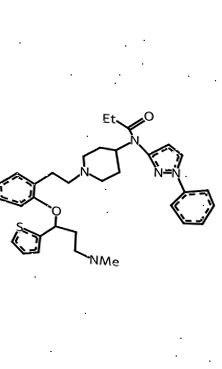 CCC(=O)N(c1ccn(-c2ccccc2)n1)C1CCN(CCc2ccccc2OC(CCNC)c2cccs2)CC1